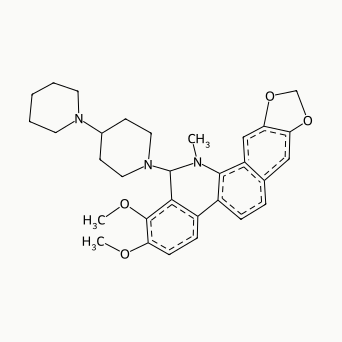 COc1ccc2c(c1OC)C(N1CCC(N3CCCCC3)CC1)N(C)c1c-2ccc2cc3c(cc12)OCO3